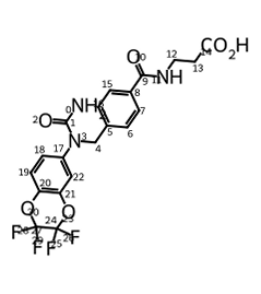 NC(=O)N(Cc1ccc(C(=O)NCCC(=O)O)cc1)c1ccc2c(c1)OC(F)(F)C(F)(F)O2